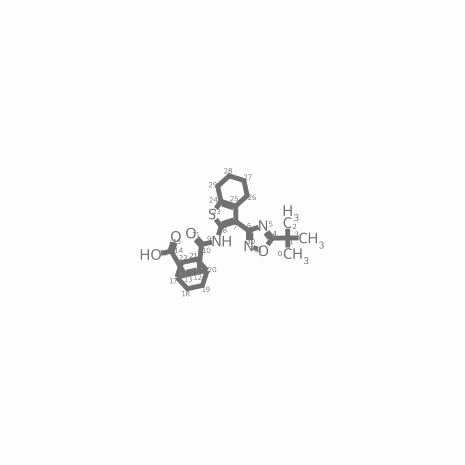 CC(C)(C)c1nc(-c2c(NC(=O)C3=C(C(=O)O)C4CCC3CC4)sc3c2CCCC3)no1